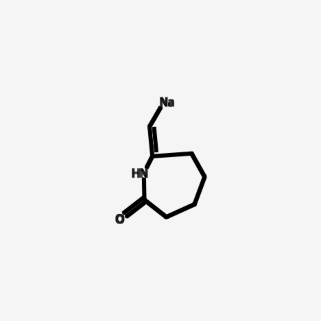 O=C1CCCCC(=[CH][Na])N1